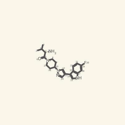 CC(C)[C@H](N)C(=O)N1CCC(n2cc(-c3c[nH]c4cc(F)ccc34)cn2)CC1